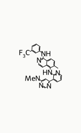 CNc1cc(-c2cccnc2Nc2c(C)ccc3c(Nc4cccc(C(F)(F)F)c4)nccc23)ncn1